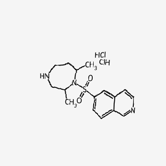 CC1CCNCC(C)N1S(=O)(=O)c1ccc2cnccc2c1.Cl.Cl